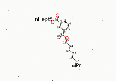 CCCCCCCOC(=O)c1cccc(C(=O)OCCCCCCC(C)C)c1